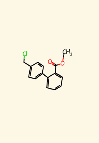 COC(=O)c1ccccc1-c1ccc(CCl)cc1